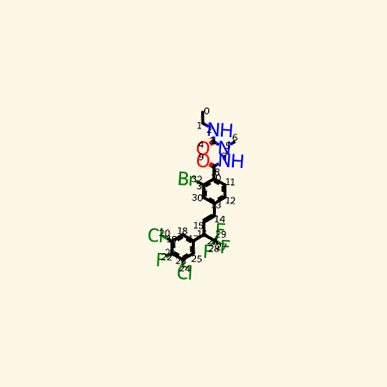 CCNC(=O)N(C)NC(=O)c1ccc(/C=C/C(c2cc(Cl)c(F)c(Cl)c2)C(F)(F)F)cc1Br